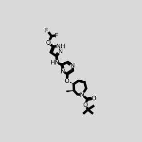 C[C@@H]1CN(C(=O)OC(C)(C)C)CCC[C@H]1Oc1cncc(Nc2cc(OC(F)F)[nH]n2)n1